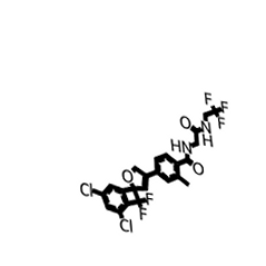 Cc1cc(C2=CC3(OC2)c2cc(Cl)cc(Cl)c2C3(F)F)ccc1C(=O)NCC(=O)NCC(F)(F)F